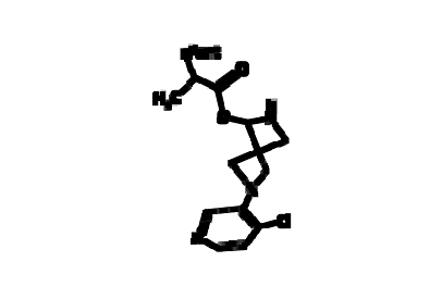 CCCCCC(C)C(=O)OC1NCC12CN(c1cnccc1Cl)C2